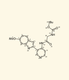 COc1ccc2sc(-c3cnccc3NC(=O)CNC(=O)OC(C)(C)C)nc2c1